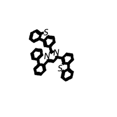 c1ccc(-c2ccccc2-c2cc(-c3cccc4c3sc3ccccc34)nc(-c3ccc4sc5ccccc5c4c3)n2)cc1